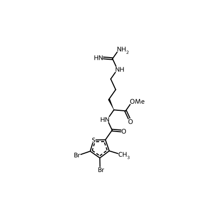 COC(=O)[C@H](CCCNC(=N)N)NC(=O)c1sc(Br)c(Br)c1C